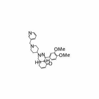 COc1ccc(C2=NN(C3CCN(Cc4cccnc4)CC3)C[C@@H]3CC=CC(=O)[C@H]23)cc1OC